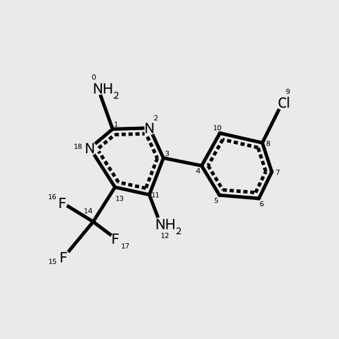 Nc1nc(-c2cccc(Cl)c2)c(N)c(C(F)(F)F)n1